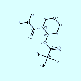 CN(C)C(=O)[C@@H]1COCCN1OC(=O)C(F)(F)F